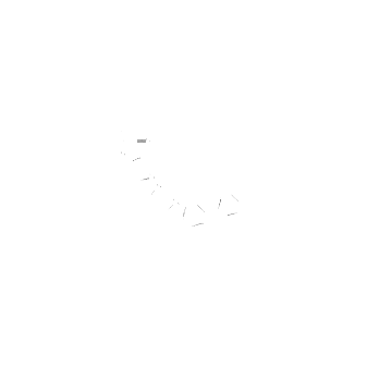 N#CC1(NC(=O)Cc2nnc(Cc3nc4cc(-c5ccc(F)cc5)c(Cl)cc4s3)o2)CC1